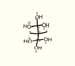 CC(C)(C(O)(O)O)C(O)(O)O